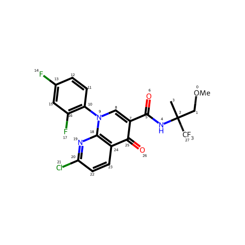 COCC(C)(NC(=O)c1cn(-c2ccc(F)cc2F)c2nc(Cl)ccc2c1=O)C(F)(F)F